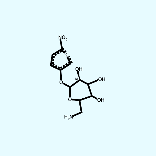 NCC1OC(Oc2ccc([N+](=O)[O-])cc2)[C@@H](O)C(O)C1O